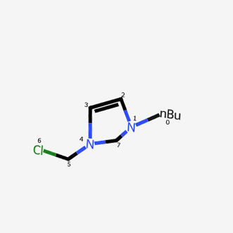 CCCCN1C=CN(CCl)C1